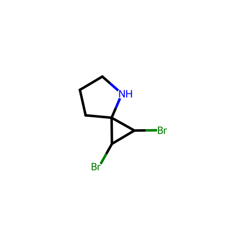 BrC1C(Br)C12CCCN2